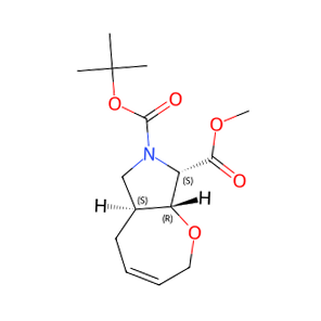 COC(=O)[C@@H]1[C@@H]2OCC=CC[C@H]2CN1C(=O)OC(C)(C)C